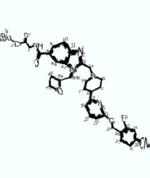 CC(C)(C)OC(=O)CNC(=O)c1ccc2nc(CN3CCC(c4cccc(OCc5ccc(C#N)cc5F)n4)CC3)n(C[C@@H]3CCO3)c2c1